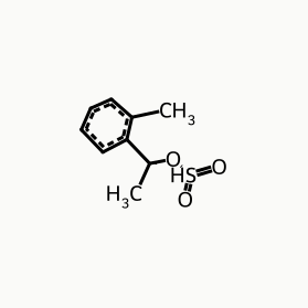 C[C](O[SH](=O)=O)c1ccccc1C